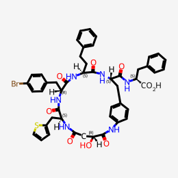 O=C1C[C@@H](O)C(=O)Nc2ccc(cc2)C[C@@H](C(=O)N[C@@H](Cc2ccccc2)C(=O)O)NC(=O)[C@H](CCc2ccccc2)NC(=O)[C@@H](Cc2ccc(Br)cc2)NC(=O)[C@H](Cc2cccs2)N1